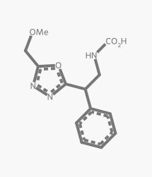 COCc1nnc(C(CNC(=O)O)c2ccccc2)o1